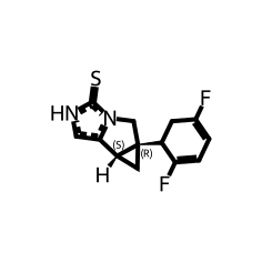 FC1=CC=C(F)C([C@@]23C[C@@H]2c2c[nH]c(=S)n2C3)C1